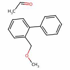 CC=O.COCc1ccccc1-c1ccccc1